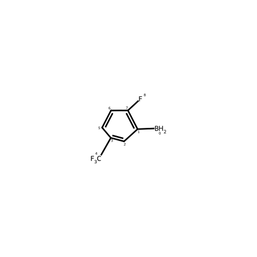 Bc1cc(C(F)(F)F)ccc1F